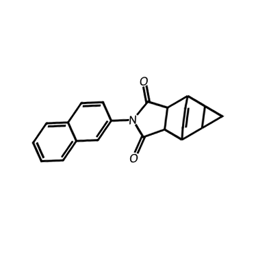 O=C1C2C3C=CC(C4CC34)C2C(=O)N1c1ccc2ccccc2c1